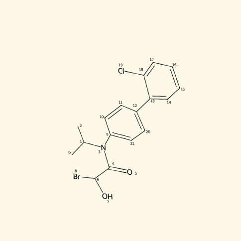 CC(C)N(C(=O)C(O)Br)c1ccc(-c2ccccc2Cl)cc1